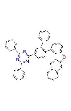 c1ccc(-c2nc(-c3ccccc3)nc(-c3ccc(-c4cccc5oc6cc7ccccc7cc6c45)c(-c4ccccc4)c3)n2)cc1